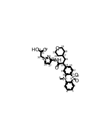 CN1c2ccccc2S(=O)(=O)c2ccc(C(CC3CCOCC3)C(=O)Nc3ccn(CC(=O)O)n3)cc21